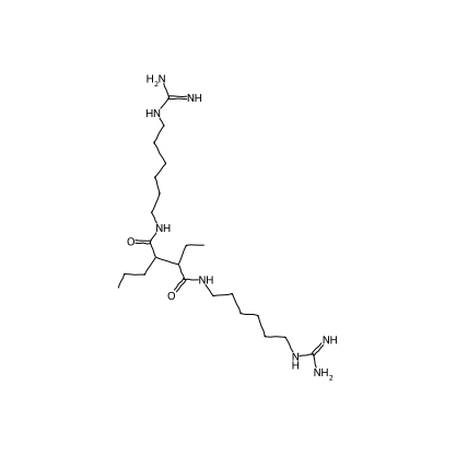 CCCC(C(=O)NCCCCCCNC(=N)N)C(CC)C(=O)NCCCCCCNC(=N)N